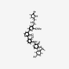 COc1nc(-c2ccnc(-c3cccc(Nc4nccc(CN(C)C5CCN(C(C)=O)CC5)c4F)c3Cl)c2Cl)ccc1CNCC1CCC(=O)N1